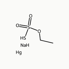 CCOS(=O)(=O)S.[Hg].[NaH]